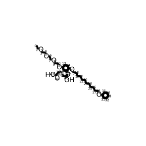 CCOCCOCCOCCOc1ccc(OCCCCCCCCCCCCOc2ccccc2)cc1N(CC(=O)O)CC(=O)O